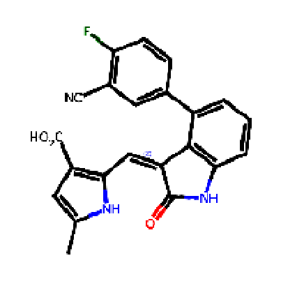 Cc1cc(C(=O)O)c(/C=C2\C(=O)Nc3cccc(-c4ccc(F)c(C#N)c4)c32)[nH]1